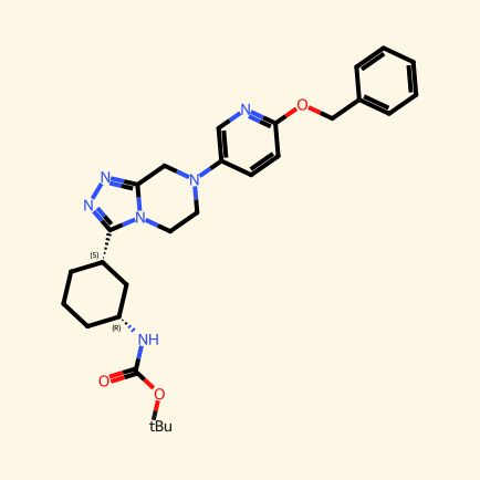 CC(C)(C)OC(=O)N[C@@H]1CCC[C@H](c2nnc3n2CCN(c2ccc(OCc4ccccc4)nc2)C3)C1